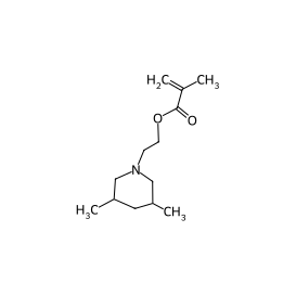 C=C(C)C(=O)OCCN1CC(C)CC(C)C1